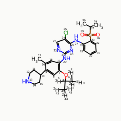 [2H]C([2H])([2H])C([2H])(Oc1cc(C2CCNCC2)c(C)cc1Nc1ncc(Cl)c(Nc2ccccc2S(=O)(=O)C(C)C)n1)C([2H])([2H])[2H]